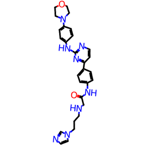 O=C(CNCCCn1ccnc1)Nc1ccc(-c2ccnc(Nc3ccc(N4CCOCC4)cc3)n2)cc1